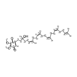 COC1=C(OC)C(=O)C(CCC(C)(O)CCC=C(C)CCC=C(C)CCC=C(C)CCC=C(C)CCC=C(C)C)=CC1=O